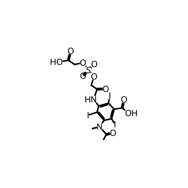 CC(=O)N(C)c1c(I)c(NC(=O)COS(=O)(=O)OCC(=O)O)c(I)c(C(=O)O)c1I